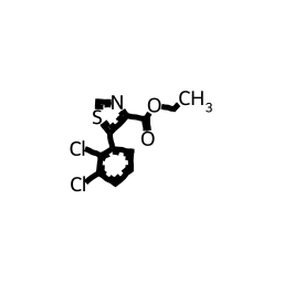 CCOC(=O)c1ncsc1-c1cccc(Cl)c1Cl